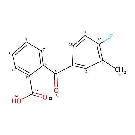 Cc1cc(C(=O)c2ccccc2C(=O)O)ccc1F